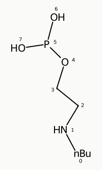 CCCCNCCOP(O)O